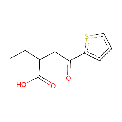 CCC(CC(=O)c1cccs1)C(=O)O